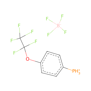 FC(F)(F)C(F)(F)Oc1ccc([PH3+])cc1.F[B-](F)(F)F